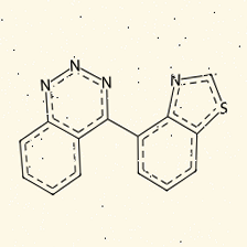 [c]1nc2c(-c3nnnc4ccccc34)cccc2s1